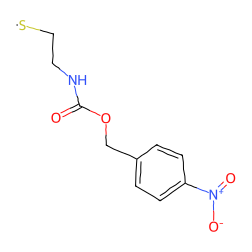 O=C(NCC[S])OCc1ccc([N+](=O)[O-])cc1